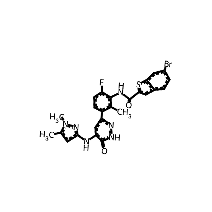 Cc1c(-c2cc(Nc3cc(C)n(C)n3)c(=O)[nH]n2)ccc(F)c1NC(=O)c1cc2ccc(Br)cc2s1